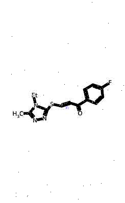 CCn1c(C)nnc1S/C=C/C(=O)c1ccc(F)cc1